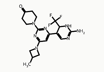 CC1CN(c2cc(C3=CN=C(N)NC3C(F)(F)F)nc(N3CCC(=O)CC3)n2)C1